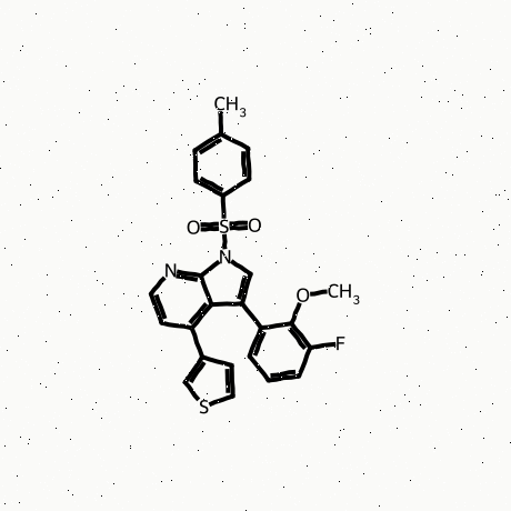 COc1c(F)cccc1-c1cn(S(=O)(=O)c2ccc(C)cc2)c2nccc(-c3ccsc3)c12